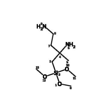 CO[Si](CC(C)(N)CCN)(OC)OC